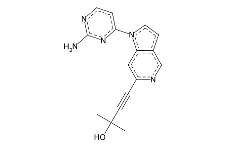 CC(C)(O)C#Cc1cc2c(ccn2-c2ccnc(N)n2)cn1